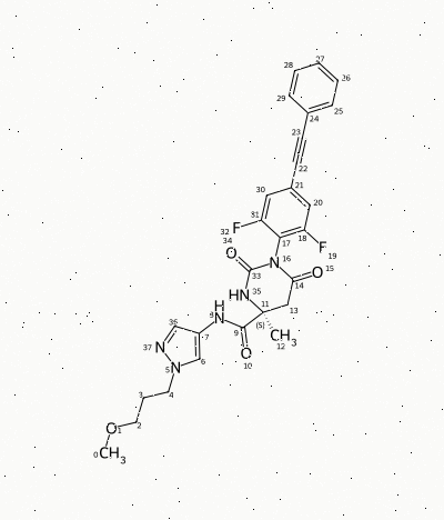 COCCCn1cc(NC(=O)[C@]2(C)CC(=O)N(c3c(F)cc(C#Cc4ccccc4)cc3F)C(=O)N2)cn1